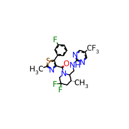 Cc1nc(C(=O)N2CC(F)(F)C[C@@H](C)C2CNc2ncc(C(F)(F)F)cn2)c(-c2cccc(F)c2)s1